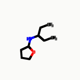 CCC(CC)N[C]1CCCO1